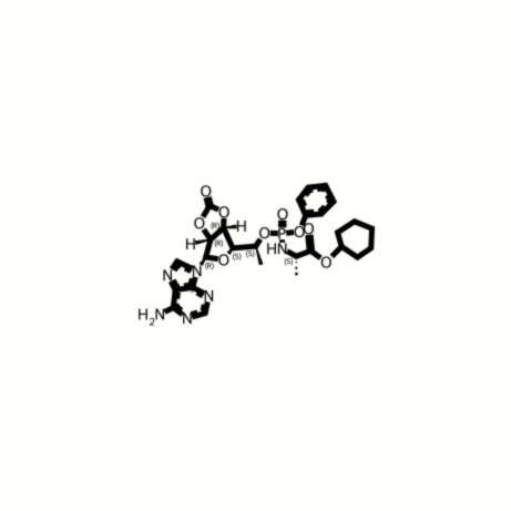 C[C@H](NP(=O)(Oc1ccccc1)O[C@@H](C)[C@H]1O[C@@H](n2cnc3c(N)ncnc32)[C@@H]2OC(=O)O[C@@H]21)C(=O)OC1CCCCC1